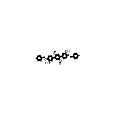 COc1cc(-c2ccc(OCc3ccccc3)c(O)c2)c(OC)cc1-c1ccc(OCc2ccccc2)c(O)c1